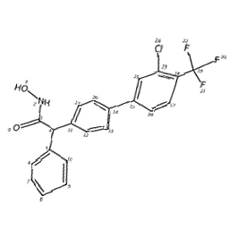 O=C(NO)C(c1ccccc1)c1ccc(-c2ccc(C(F)(F)F)c(Cl)c2)cc1